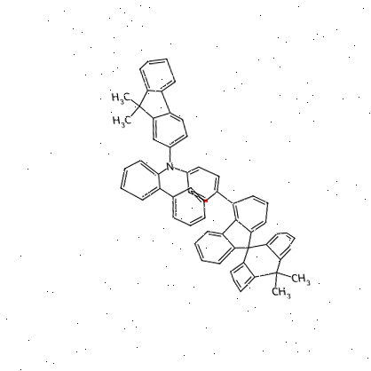 CC1(C)c2ccccc2-c2ccc(N(c3ccc(-c4cccc5c4-c4ccccc4C54c5ccccc5C(C)(C)c5ccccc54)cc3)c3ccccc3-c3ccccc3)cc21